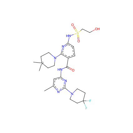 Cc1cc(NC(=O)c2ccc(NS(=O)(=O)CCO)nc2N2CC[Si](C)(C)CC2)nc(N2CCC(F)(F)CC2)n1